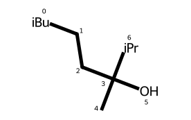 CCC(C)CCC(C)(O)C(C)C